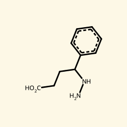 NNC(CCC(=O)O)c1ccccc1